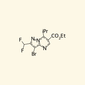 CCOC(=O)c1cnc2c(Br)c(C(F)F)nn2c1C(C)C